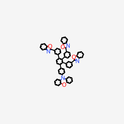 c1cc(-c2nc3ccccc3o2)cc(-c2ccc(-c3ccc(N4c5ccccc5Oc5ccccc54)cc3)c(-c3cccc(-c4nc5ccccc5o4)c3)c2-c2cccc(-c3nc4ccccc4o3)c2)c1